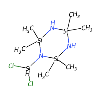 C[Si]1(C)N[Si](C)(C)N([SiH](Cl)Cl)[Si](C)(C)N1